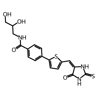 O=C1NC(=S)NC1=Cc1ccc(-c2ccc(C(=O)NCC(O)CO)cc2)s1